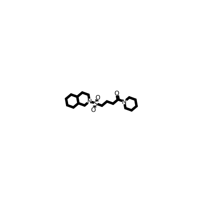 O=C(CCCS(=O)(=O)N1CCC2CCCCC2C1)N1CCCCC1